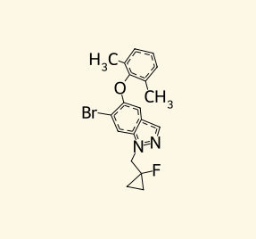 Cc1cccc(C)c1Oc1cc2cnn(CC3(F)CC3)c2cc1Br